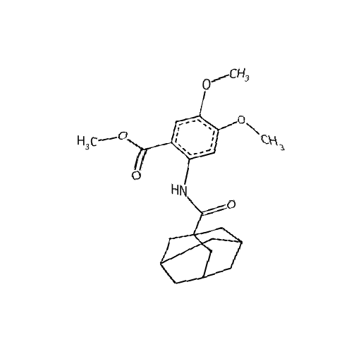 COC(=O)c1cc(OC)c(OC)cc1NC(=O)C12CC3CC(CC(C3)C1)C2